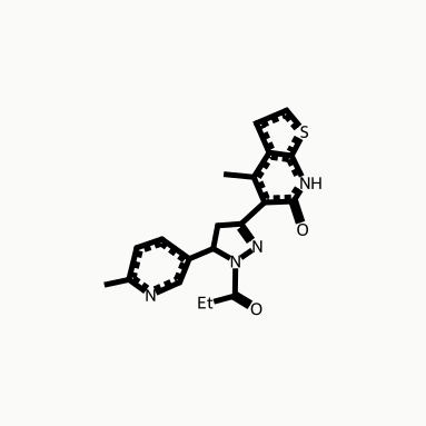 CCC(=O)N1N=C(c2c(C)c3ccsc3[nH]c2=O)CC1c1ccc(C)nc1